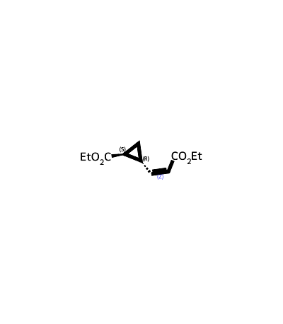 CCOC(=O)/C=C\[C@H]1C[C@@H]1C(=O)OCC